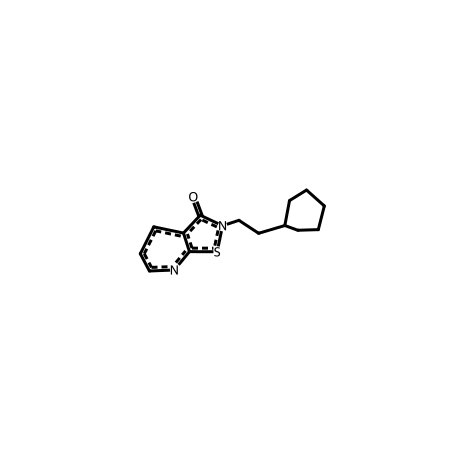 O=c1c2cccnc2sn1CCC1CCCCC1